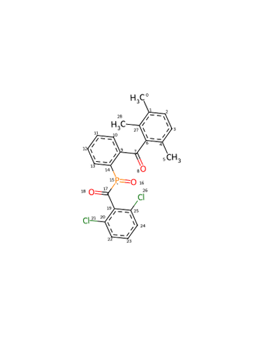 Cc1ccc(C)c(C(=O)c2ccccc2[P](=O)C(=O)c2c(Cl)cccc2Cl)c1C